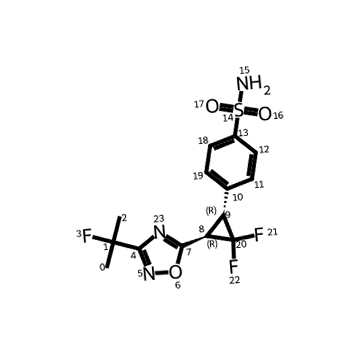 CC(C)(F)c1noc([C@H]2[C@H](c3ccc(S(N)(=O)=O)cc3)C2(F)F)n1